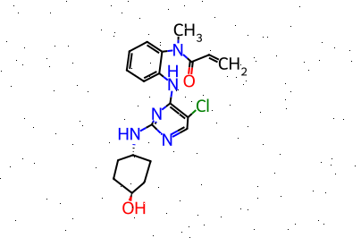 C=CC(=O)N(C)c1ccccc1Nc1nc(N[C@H]2CC[C@H](O)CC2)ncc1Cl